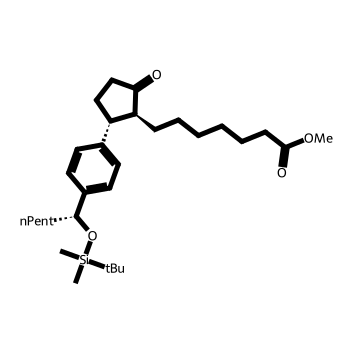 CCCCC[C@@H](O[Si](C)(C)C(C)(C)C)c1ccc([C@@H]2CCC(=O)[C@H]2CCCCCCC(=O)OC)cc1